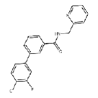 O=C(NCc1ccccn1)c1cccc(-c2ccc(Cl)c(F)c2)c1